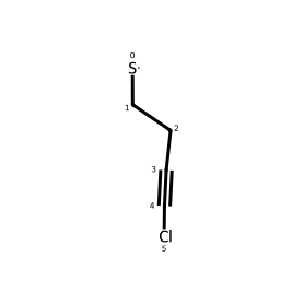 [S]CCC#CCl